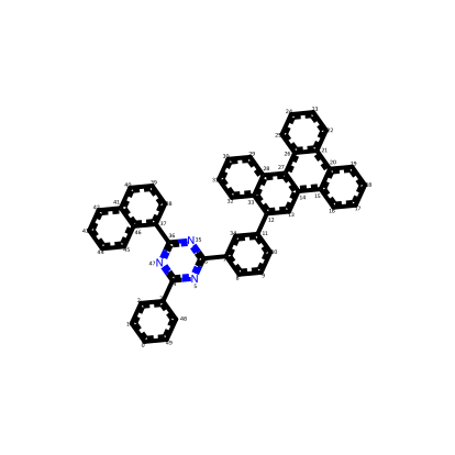 c1ccc(-c2nc(-c3cccc(-c4cc5c6ccccc6c6ccccc6c5c5ccccc45)c3)nc(-c3cccc4ccccc34)n2)cc1